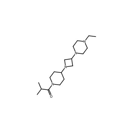 CCN1CCN(C2CN(C3CCN(C(=O)C(C)C)CC3)C2)CC1